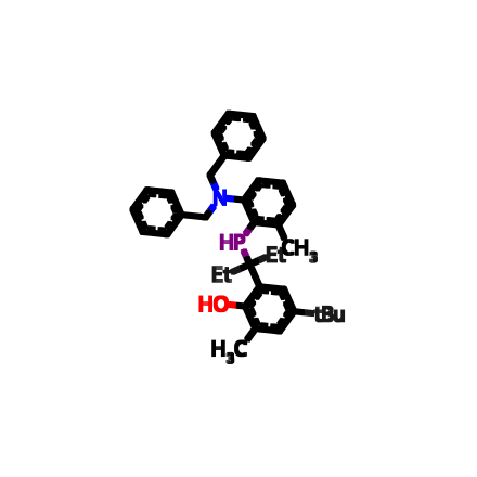 CCC(CC)(Pc1c(C)cccc1N(Cc1ccccc1)Cc1ccccc1)c1cc(C(C)(C)C)cc(C)c1O